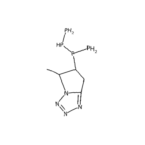 CC1C(P(P)PP)Cc2nnnn21